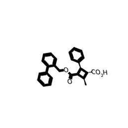 C[C@H]1C(C(=O)OCc2ccccc2-c2ccccc2)[C@@H](c2ccccc2)[C@@H]1C(=O)O